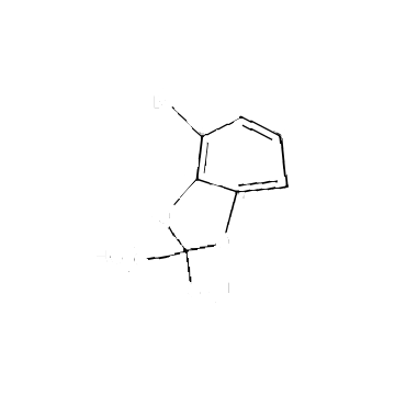 O=C(O)C1(C(=O)O)Oc2cccc(Br)c2O1